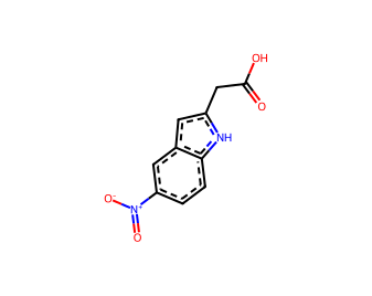 O=C(O)Cc1cc2cc([N+](=O)[O-])ccc2[nH]1